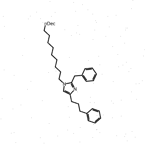 CCCCCCCCCCCCCCCCCCCn1cc(CCCc2ccccc2)nc1Cc1ccccc1